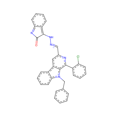 O=C1N=c2ccccc2=C1N/N=C/c1cc2c3ccccc3n(Cc3ccccc3)c2c(-c2ccccc2Cl)n1